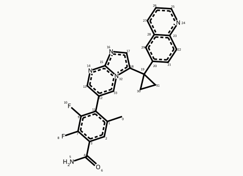 Cc1cc(C(N)=O)c(F)c(F)c1-c1cnc2ncc(C3(c4ccc5ncccc5c4)CC3)n2c1